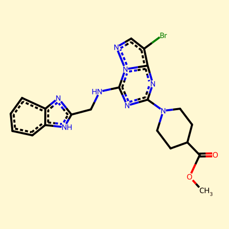 COC(=O)C1CCN(c2nc(NCc3nc4ccccc4[nH]3)n3ncc(Br)c3n2)CC1